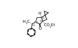 CCOC(=O)[C@@]12CC3(CC3)[C@@H]1CN([C@@H](C)c1ccccc1)C2=O